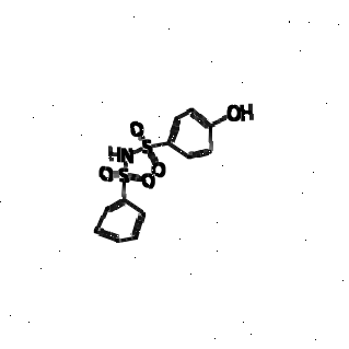 O=S(=O)(NS(=O)(=O)c1ccc(O)cc1)c1ccccc1